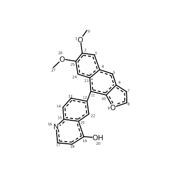 COc1cc2cc3ccoc3c(-c3ccc4nccc(O)c4c3)c2cc1OC